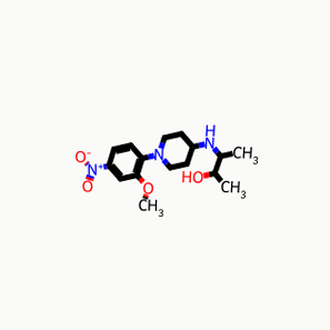 COc1cc([N+](=O)[O-])ccc1N1CCC(NC(C)C(C)O)CC1